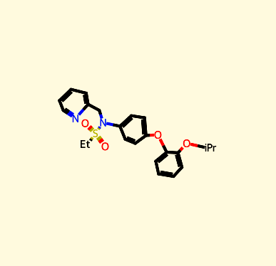 CCS(=O)(=O)N(Cc1ccccn1)c1ccc(Oc2ccccc2OC(C)C)cc1